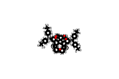 CC(C)(C)c1ccc(N(c2ccc(C(C)(C)C)cc2)c2ccc3c4c(c5c6ccccc6oc5c3c2)-c2c(c3ccc(N(c5ccc(C(C)(C)C)cc5)c5ccc(C(C)(C)C)cc5)cc3c3oc5ccccc5c23)C42c3ccccc3-c3ccccc32)cc1